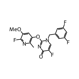 COc1cc(Oc2nc(=O)c(F)cn2Cc2cc(F)cc(F)c2)c(C)nc1F